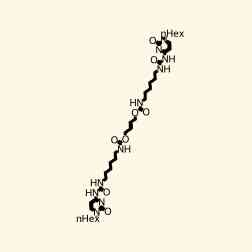 CCCCCCn1ccc(NC(=O)NCCCCCCNC(=O)OC/C=C/COC(=O)NCCCCCCNC(=O)Nc2ccn(CCCCCC)c(=O)n2)nc1=O